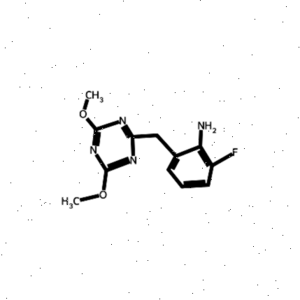 COc1nc(Cc2cccc(F)c2N)nc(OC)n1